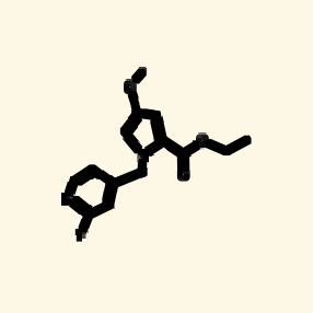 CCOC(=O)c1cc(OC)cn1Cc1ccnc(F)c1